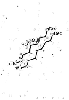 CCCCCCCCCCCCCCCCNCCCC.CCCCCCCCCCCCCCCCNCCCC.O=S(=O)(O)O